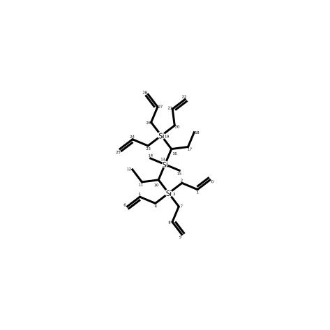 C=CC[Si](CC=C)(CC=C)C(CC)[Si](C)(C)C(CC)[Si](CC=C)(CC=C)CC=C